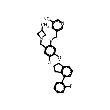 CC1CN(Cc2cc(Cl)c(O[C@H]3CCc4c(-c5ccccc5F)cccc43)cc2OCc2cncc(C#N)c2)C1